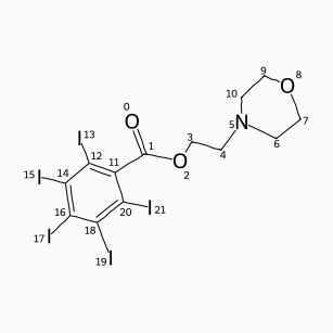 O=C(OCCN1CCOCC1)c1c(I)c(I)c(I)c(I)c1I